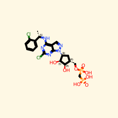 C[C@H](Nc1nc(Cl)nc2c1cnn2[C@@H]1C[C@H](COP(=O)(O)CP(=O)(O)O)[C@@H](O)[C@H]1O)c1ccccc1Cl